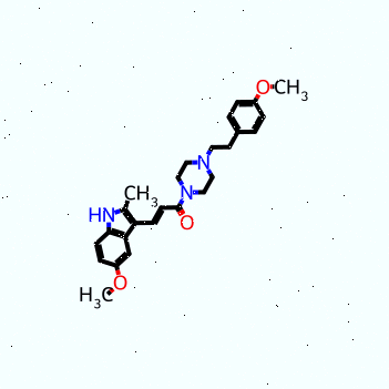 COc1ccc(CCN2CCN(C(=O)C=Cc3c(C)[nH]c4ccc(OC)cc34)CC2)cc1